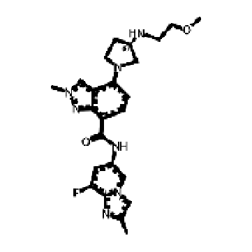 COCCN[C@@H]1CCN(c2ccc(C(=O)Nc3cc(F)c4nc(C)cn4c3)c3nn(C)cc23)C1